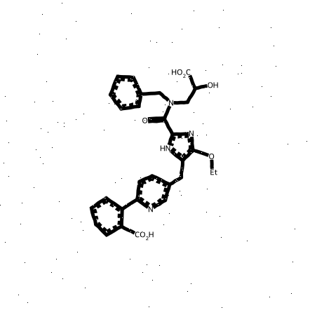 CCOc1nc(C(=O)N(Cc2ccccc2)CC(O)C(=O)O)[nH]c1Cc1ccc(-c2ccccc2C(=O)O)nc1